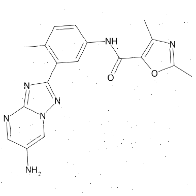 Cc1nc(C)c(C(=O)Nc2ccc(C)c(-c3nc4ncc(N)cn4n3)c2)o1